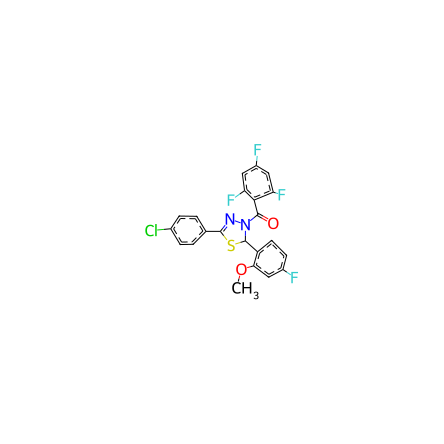 COc1cc(F)ccc1C1SC(c2ccc(Cl)cc2)=NN1C(=O)c1c(F)cc(F)cc1F